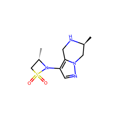 C[C@H]1Cn2ncc(N3[C@@H](C)CS3(=O)=O)c2CN1